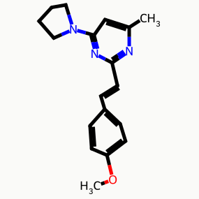 COc1ccc(C=Cc2nc(C)cc(N3CCCC3)n2)cc1